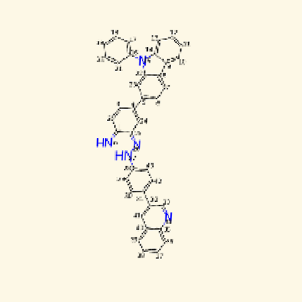 N=C1C=CC(c2ccc3c4ccccc4n(-c4ccccc4)c3c2)=C/C1=N/Nc1ccc(-c2cnc3ccccc3c2)cc1